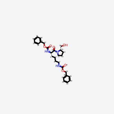 O=C(NCCCC[C@H](NC(=O)OCc1ccccc1)C(=O)N1CCC[C@H]1CO)OCc1ccccc1